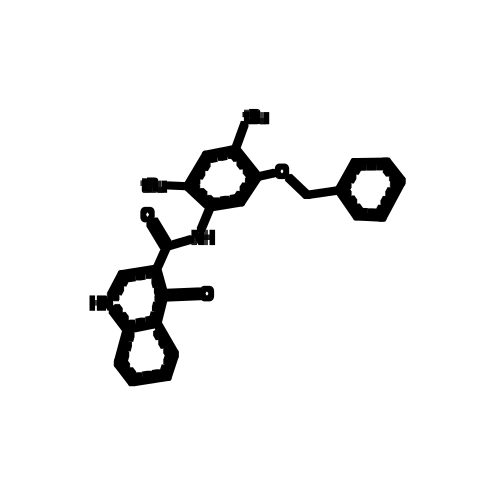 CC(C)(C)c1cc(C(C)(C)C)c(OCc2ccccc2)cc1NC(=O)c1c[nH]c2ccccc2c1=O